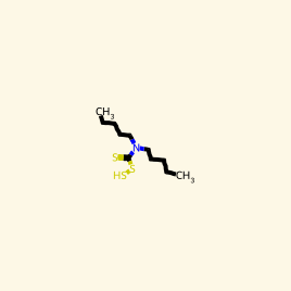 CCCCCN(CCCCC)C(=S)SS